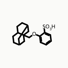 O=S(=O)(O)c1ccccc1OCC12CC3CCC1CCC(C3)C2